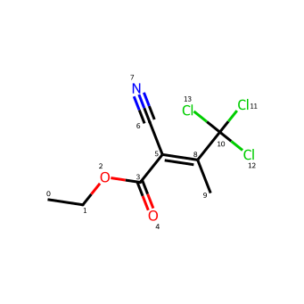 CCOC(=O)/C(C#N)=C(\C)C(Cl)(Cl)Cl